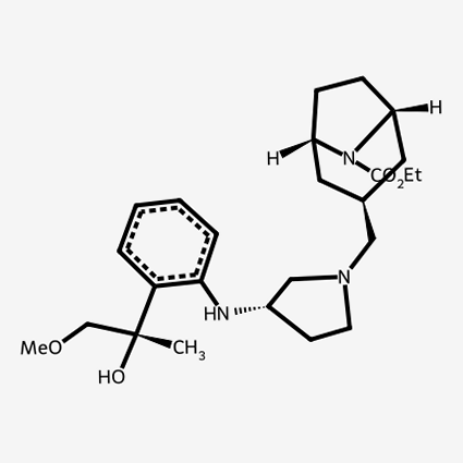 CCOC(=O)N1[C@@H]2CC[C@H]1C[C@H](CN1CC[C@H](Nc3ccccc3[C@](C)(O)COC)C1)C2